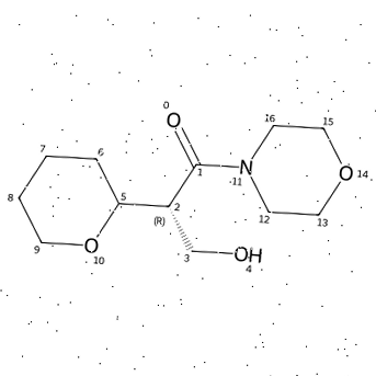 O=C([C@H](CO)C1CCCCO1)N1CCOCC1